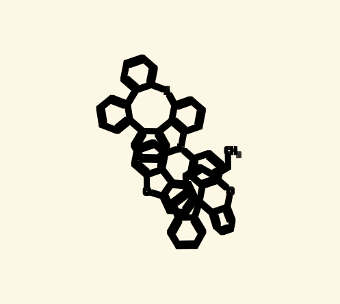 C/C=C\C=C/C1=Cc2ccccc2C12c1ccccc1Oc1ccc(N(c3cccc4oc5ccccc5c34)c3cccc4sc5ccccc5c5ccccc5c5ccccc5c34)cc12